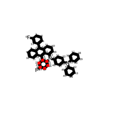 Fc1cccc(-c2c3ccccc3c(-c3cccc(F)c3)c3c(N(c4ccccc4)c4ccc(N(c5ccccc5)c5ccccc5)cc4)cccc23)c1